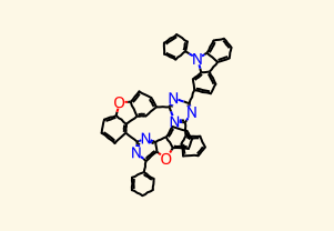 C1=CC(c2nc(-c3cccc4oc5ccc(-c6nc(-c7ccccc7)nc(-c7ccc8c9ccccc9n(-c9ccccc9)c8c7)n6)cc5c34)nc3c2oc2ccccc23)=CCC1